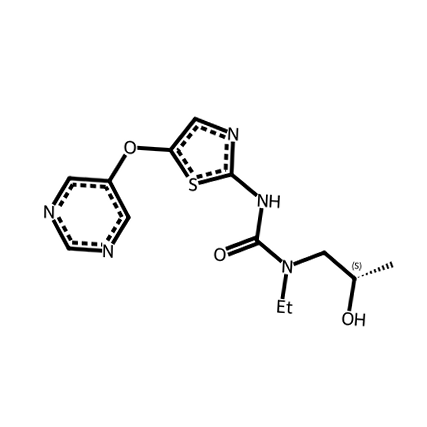 CCN(C[C@H](C)O)C(=O)Nc1ncc(Oc2cncnc2)s1